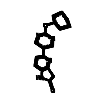 O=C1Cc2nc(-c3cnc(Oc4ccccc4)nc3)ccc2N1